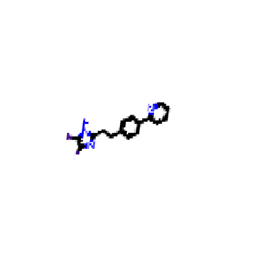 Ic1nc(CCc2ccc(-c3ccccn3)cc2)[nH]c1I